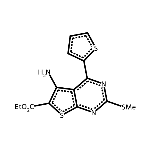 CCOC(=O)c1sc2nc(SC)nc(-c3cccs3)c2c1N